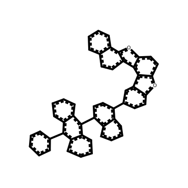 c1ccc(-c2c3ccccc3c(-c3ccc(-c4ccc5oc6ccc7oc8c9ccccc9ccc8c7c6c5c4)c4ccccc34)c3ccccc23)cc1